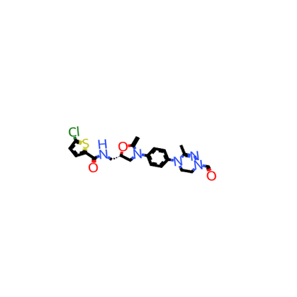 C=C1O[C@@H](CNC(=O)c2ccc(Cl)s2)CN1c1ccc(N2CCN(C=O)N=C2C)cc1